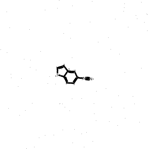 N#[N+]c1ccc2sccc2c1